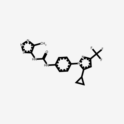 Cc1nnsc1NC(=O)Nc1ccc(-n2nc(C(F)(F)F)cc2C2CC2)cc1